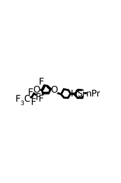 CCC[SiH]1CCC(C2CCC(COc3cc(F)c(OC(F)(F)C(F)C(F)(F)F)c(F)c3)CC2)CC1